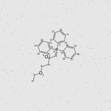 CCOCCC(=O)C=P(c1ccccc1)(c1ccccc1)c1ccccc1